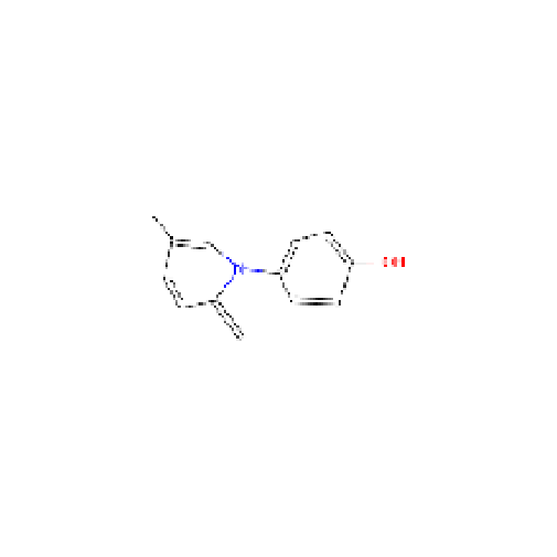 C=C1C=CC(C)=CN1c1ccc(O)cc1